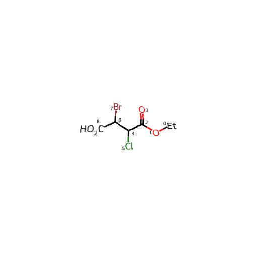 CCOC(=O)C(Cl)C(Br)C(=O)O